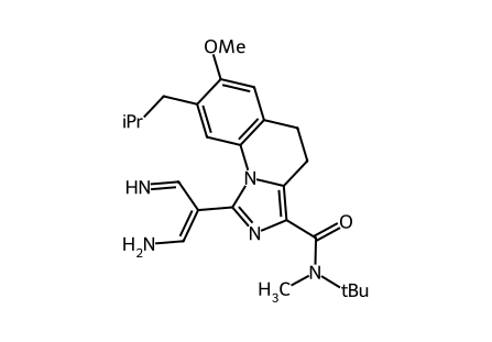 COc1cc2c(cc1CC(C)C)-n1c(/C(C=N)=C/N)nc(C(=O)N(C)C(C)(C)C)c1CC2